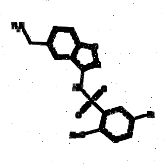 CCc1ccc(OC)c(S(=O)(=O)Nc2noc3ccc(CN)cc23)c1